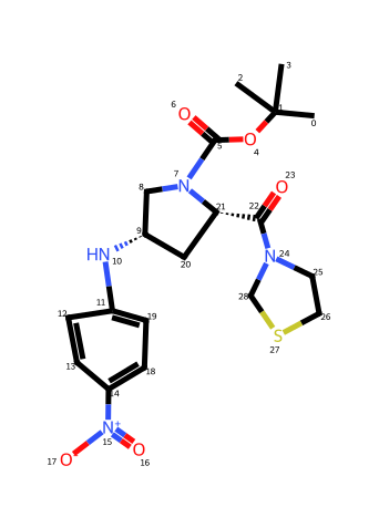 CC(C)(C)OC(=O)N1C[C@@H](Nc2ccc([N+](=O)[O-])cc2)C[C@H]1C(=O)N1CCSC1